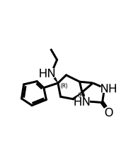 CCN[C@]1(c2ccccc2)CC[C@]23NC(=O)NC2C3C1